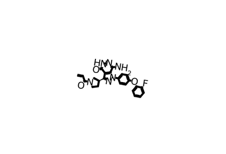 C=CC(=O)N1CC[C@H](c2nn(-c3ccc(Oc4ccccc4F)cc3)c3c(N)n[nH]c(=O)c23)C1